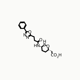 O=C(O)C[C@@H]1CC[C@H](NC(=O)CCc2nnc(-c3ccccc3)o2)BO1